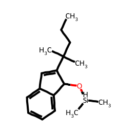 CCCC(C)(C)C1=Cc2ccccc2C1O[SiH](C)C